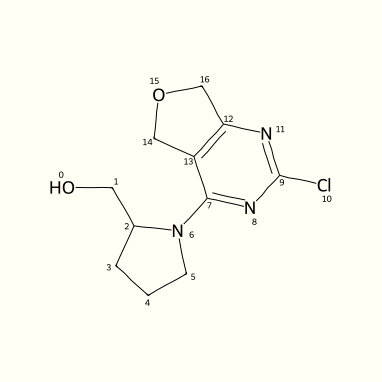 OCC1CCCN1c1nc(Cl)nc2c1COC2